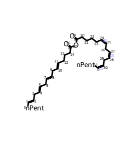 CCCCCC=CCC=CCC=CCC=CCCCC(=O)OC(=O)CCCC/C=C\C/C=C\C/C=C\CCCCC